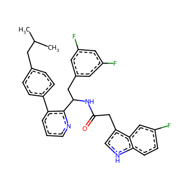 CC(C)Cc1ccc(-c2cccnc2C(Cc2cc(F)cc(F)c2)NC(=O)Cc2c[nH]c3ccc(F)cc23)cc1